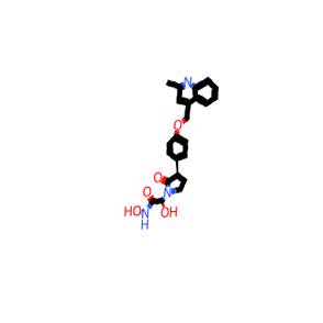 Cc1cc(COc2ccc([C@H]3CCN([C@@H](O)C(=O)NO)C3=O)cc2)c2ccccc2n1